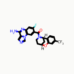 Nc1nc2cc(F)c(C(=O)N3CC[C@H]4C[C@@H]3c3ccc(C(F)(F)F)cc3O4)cc2n2cncc12